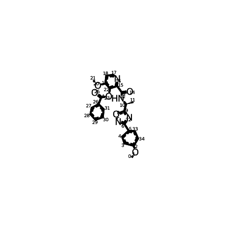 COc1ccc(-c2noc([C@H](C)NC(=O)c3nccc(OC)c3OC(=O)c3ccccc3)n2)cc1